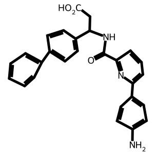 Nc1ccc(-c2cccc(C(=O)NC(CC(=O)O)c3ccc(-c4ccccc4)cc3)n2)cc1